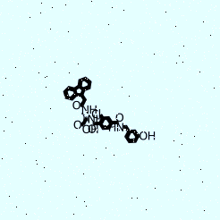 O=C(CC1c2ccccc2-c2ccccc21)NC[C@H](NC(=O)c1ccc(C(=O)NCc2cccc(O)c2)cc1Cl)C(=O)O